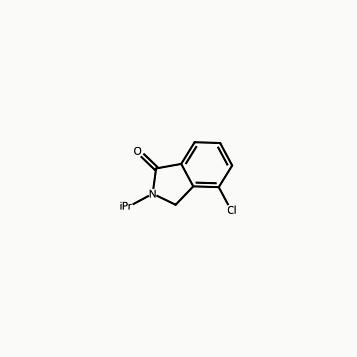 CC(C)N1Cc2c(Cl)cccc2C1=O